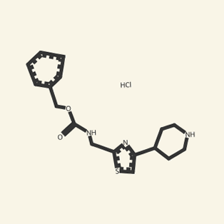 Cl.O=C(NCc1nc(C2CCNCC2)cs1)OCc1ccccc1